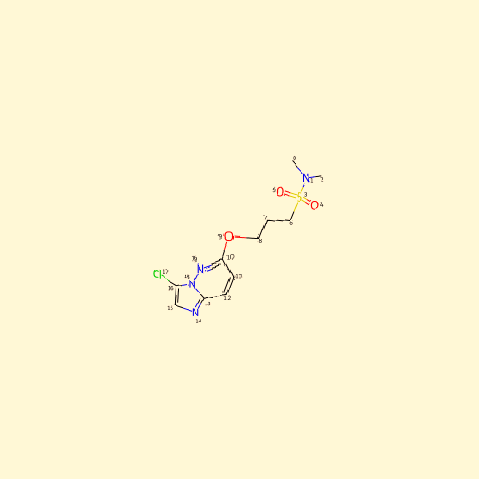 CN(C)S(=O)(=O)CCCOc1ccc2ncc(Cl)n2n1